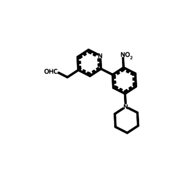 O=CCc1ccnc(-c2cc(N3CCCCC3)ccc2[N+](=O)[O-])c1